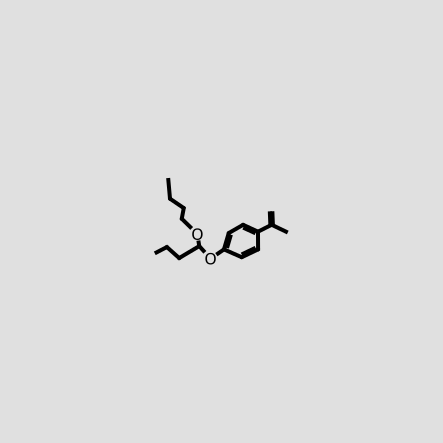 C=C(C)c1ccc(OC(CCC)OCCCC)cc1